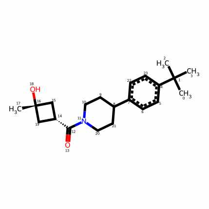 CC(C)(C)c1ccc(C2CCN(C(=O)[C@H]3C[C@@](C)(O)C3)CC2)cc1